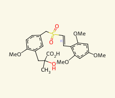 COc1cc(OC)c(/C=C/S(=O)(=O)Cc2ccc(OC)c(CC(C)(O)C(=O)O)c2)c(OC)c1